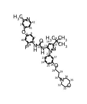 Cc1cc(Oc2ccc(NC(=O)Nc3cc(C(C)(C)C)nn3-c3cccc(OCCCN4CCOCC4)c3)c(F)c2)ccn1